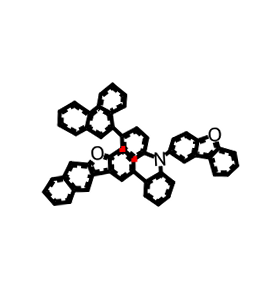 c1ccc(N(c2ccc(-c3cc4ccccc4c4ccccc34)cc2)c2ccc3oc4ccccc4c3c2)c(-c2ccc3oc4cc5ccccc5cc4c3c2)c1